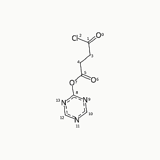 O=C(Cl)CCC(=O)Oc1ncncn1